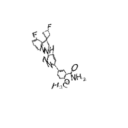 COc1ccc(-c2ccc(NCC3(c4ncccc4F)CC(F)C3)nn2)cc1C(N)=O